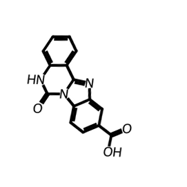 O=C(O)c1ccc2c(c1)nc1c3ccccc3[nH]c(=O)n21